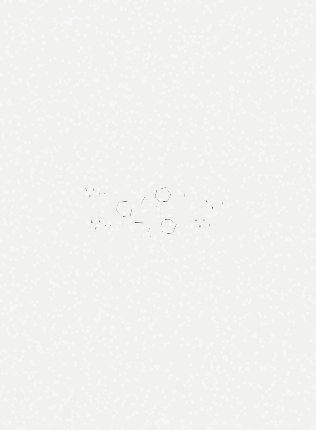 COc1ccc(C(=O)/C=C/c2c(/C=C/c3ccc(OCCCN4CCOCC4)cc3)cc(OC)cc2OC)c(O)c1